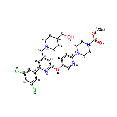 CC(C)(C)OC(=O)N1CCN(c2ccc(Oc3cc(CN4CCC(CO)CC4)cc(-c4cc(Cl)cc(Cl)c4)n3)cn2)CC1